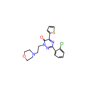 O=c1c(-c2cccs2)nc(-c2ccccc2Cl)nn1CCN1CCOCC1